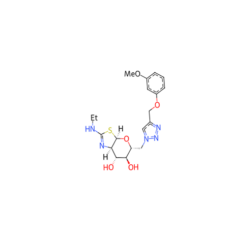 CCNC1=N[C@@H]2[C@@H](O)[C@H](O)[C@@H](Cn3cc(COc4cccc(OC)c4)nn3)O[C@@H]2S1